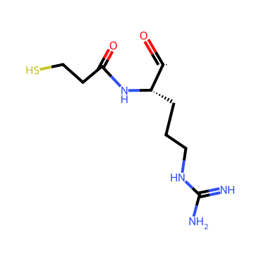 N=C(N)NCCC[C@@H]([C]=O)NC(=O)CCS